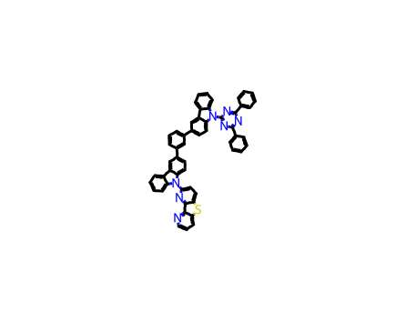 c1ccc(-c2nc(-c3ccccc3)nc(-n3c4ccccc4c4cc(-c5cccc(-c6ccc7c(c6)c6ccccc6n7-c6ccc7sc8cccnc8c7n6)c5)ccc43)n2)cc1